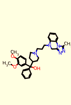 COc1ccc(C(O)(c2ccccc2)C2CCN(CCCN3Cc4nnc(C)n4-c4ccccc43)CC2)cc1OC